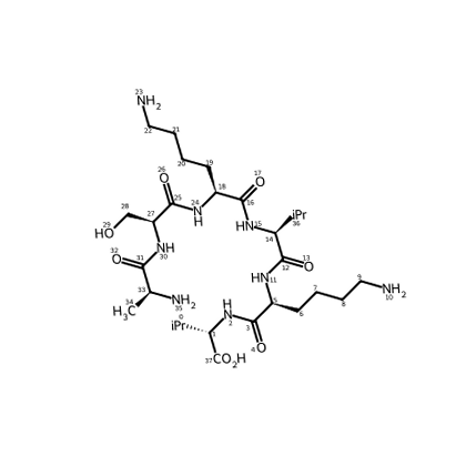 CC(C)[C@H](NC(=O)[C@H](CCCCN)NC(=O)[C@@H](NC(=O)[C@H](CCCCN)NC(=O)[C@H](CO)NC(=O)[C@H](C)N)C(C)C)C(=O)O